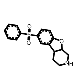 O=S(=O)(c1ccccc1)c1ccc2c(c1)C1CCNCC1O2